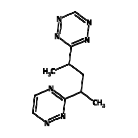 CC(CC(C)c1nncnn1)c1nccnn1